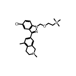 Cc1cc(-c2nn(COCC[Si](C)(C)C)c3ccc(Cl)cc23)cc2c1CCN(C)C2